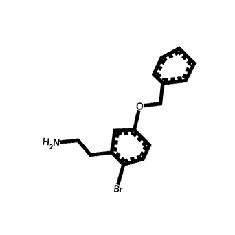 NCCc1cc(OCc2ccccc2)ccc1Br